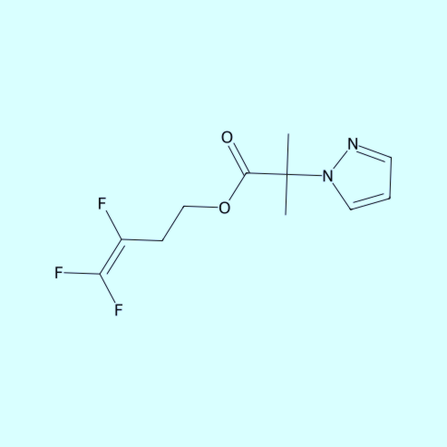 CC(C)(C(=O)OCCC(F)=C(F)F)n1cccn1